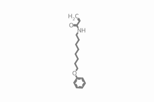 C=CC(=O)NCCCCCCCCOc1ccccc1